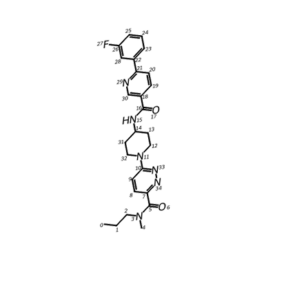 CCCN(C)C(=O)c1ccc(N2CCC(NC(=O)c3ccc(-c4cccc(F)c4)nc3)CC2)nn1